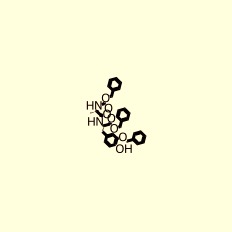 C[C@H](NC(=O)OCc1ccccc1)C(=O)N[C@@H](Cc1ccc(O)c(OCc2ccccc2)c1)C(=O)OCc1ccccc1